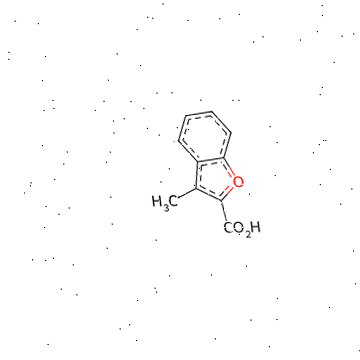 Cc1c(C(=O)O)oc2ccc[c]c12